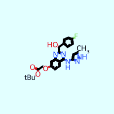 Cc1cc(Nc2nc(C(O)c3ccc(F)cc3)nc3cc(OCC(=O)OC(C)(C)C)ccc23)n[nH]1